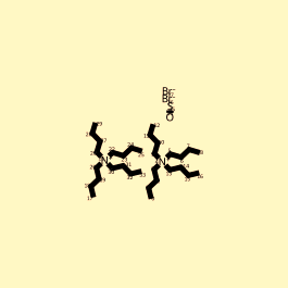 CCCC[N+](CCCC)(CCCC)CCCC.CCCC[N+](CCCC)(CCCC)CCCC.O=S.[Br-].[Br-]